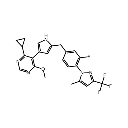 COc1ncnc(C2CC2)c1-c1c[nH]c(Cc2ccc(-n3nc(C(F)(F)F)cc3C)c(F)c2)c1